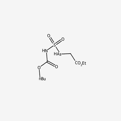 CCCCOC(=O)NS(=O)(=O)[AsH]CC(=O)OCC